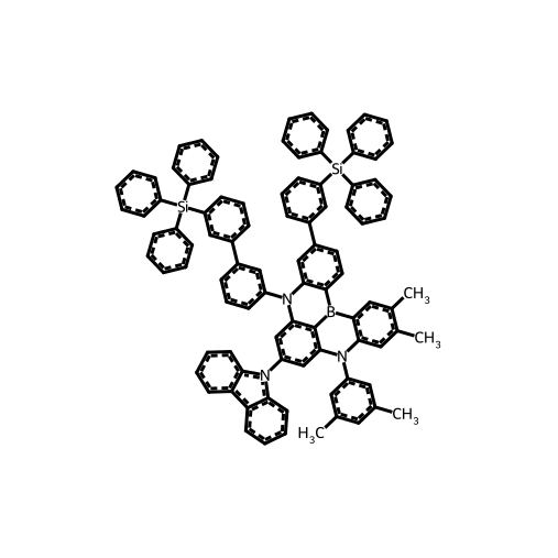 Cc1cc(C)cc(N2c3cc(C)c(C)cc3B3c4ccc(-c5cccc([Si](c6ccccc6)(c6ccccc6)c6ccccc6)c5)cc4N(c4cccc(-c5cccc([Si](c6ccccc6)(c6ccccc6)c6ccccc6)c5)c4)c4cc(-n5c6ccccc6c6ccccc65)cc2c43)c1